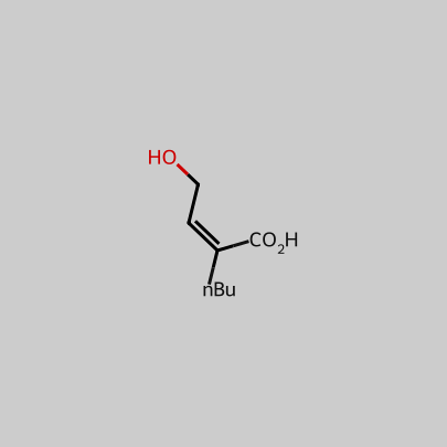 CCCC/C(=C/CO)C(=O)O